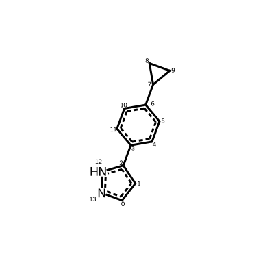 c1cc(-c2ccc(C3CC3)cc2)[nH]n1